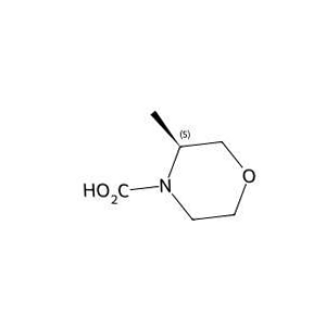 C[C@H]1COCCN1C(=O)O